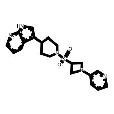 O=S(=O)(C1CN(c2cccnc2)C1)N1CCC(c2c[nH]c3ncccc23)CC1